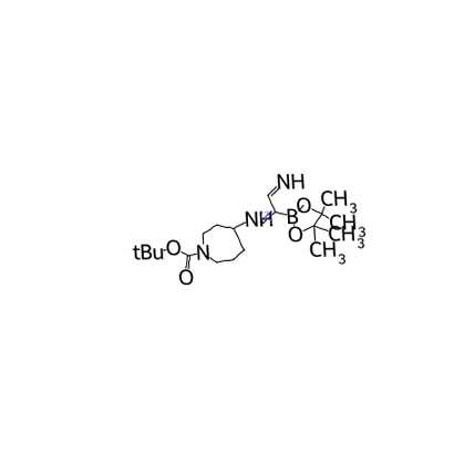 CC(C)(C)OC(=O)N1CCCC(N/C=C(\C=N)B2OC(C)(C)C(C)(C)O2)CC1